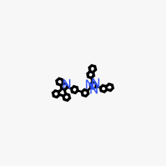 c1cc(-c2ccc(-c3nc4ccccc4c4c5ccccc5c5ccccc5c34)cc2)cc(-c2nc(-c3ccc4ccccc4c3)nc(-c3ccc4ccccc4c3)n2)c1